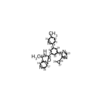 Cc1ccc(-c2cc(C(=O)NC(C)c3cnccn3)cc(-n3ncnc3C3CC3)c2)nc1